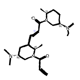 C=CC(=O)N1C[C@H](N(C)C)CC(/C=C/C(=O)N2C[C@H](N(C)C)CC[C@@H]2C)[C@H]1C